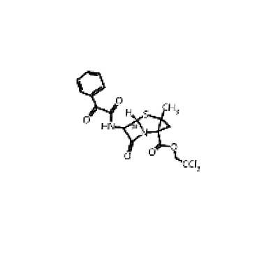 CC12CC1(C(=O)OCC(Cl)(Cl)Cl)N1C(=O)C(NC(=O)C(=O)c3ccccc3)[C@@H]1S2